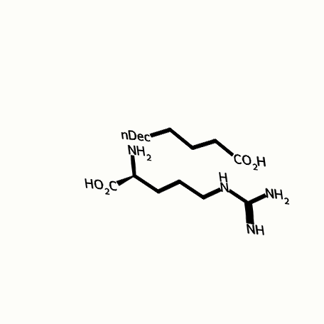 CCCCCCCCCCCCCC(=O)O.N=C(N)NCCC[C@H](N)C(=O)O